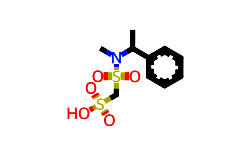 CC(c1ccccc1)N(C)S(=O)(=O)CS(=O)(=O)O